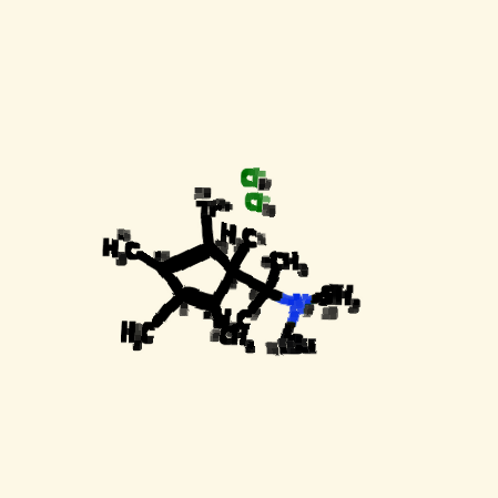 CC1=C(C)C(C)(C(C)(C)N([SiH3])C(C)(C)C)[C]([Ti+2])=C1C.[Cl-].[Cl-]